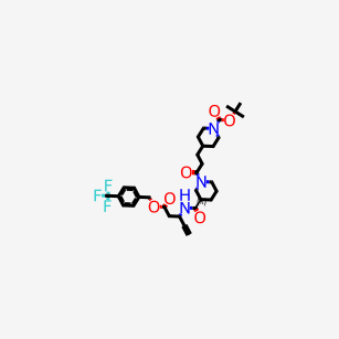 C#CC(CC(=O)OCc1ccc(C(F)(F)F)cc1)NC(=O)[C@@H]1CCCN(C(=O)CCC2CCN(C(=O)OC(C)(C)C)CC2)C1